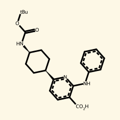 CC(C)(C)OC(=O)N[C@H]1CC[C@@H](c2ccc(C(=O)O)c(Nc3ccccc3)n2)CC1